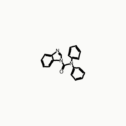 O=C(N(c1ccccc1)c1ccccc1)n1cnc2ccccc21